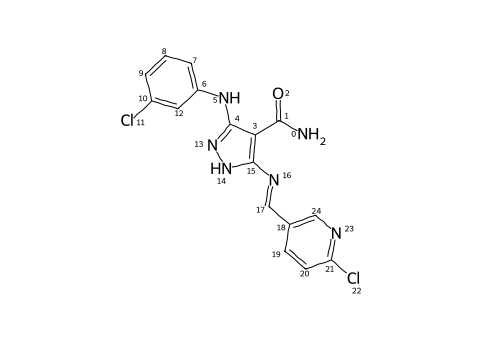 NC(=O)c1c(Nc2cccc(Cl)c2)n[nH]c1/N=C/c1ccc(Cl)nc1